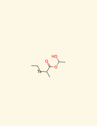 CC[Te]C(C)C(=O)OC(C)O